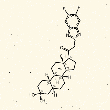 C[C@@]1(O)CC[C@H]2[C@H](CC[C@@H]3[C@@H]2CC[C@]2(C)[C@@H](C(=O)Cn4nc5cc(F)c(F)cc5n4)CC[C@@H]32)C1